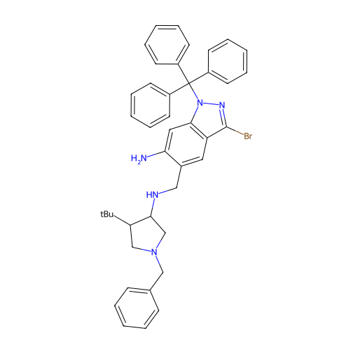 CC(C)(C)C1CN(Cc2ccccc2)CC1NCc1cc2c(Br)nn(C(c3ccccc3)(c3ccccc3)c3ccccc3)c2cc1N